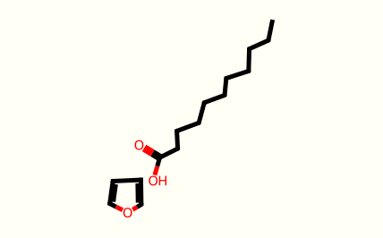 CCCCCCCCCCC(=O)O.c1ccoc1